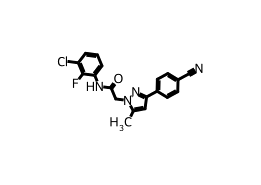 Cc1cc(-c2ccc(C#N)cc2)nn1CC(=O)Nc1cccc(Cl)c1F